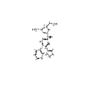 Cc1cc(CO)cc(Nc2nccc(-n3ccnc3-c3ccccc3)n2)c1